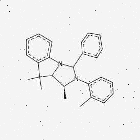 Cc1ccccc1N1C(c2ccccc2)N2c3ccccc3C(C)(C)C2[C@@H]1C